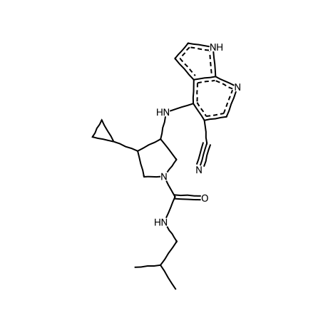 CC(C)CNC(=O)N1CC(Nc2c(C#N)cnc3[nH]ccc23)C(C2CC2)C1